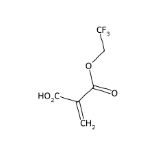 C=C(C(=O)O)C(=O)OCC(F)(F)F